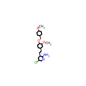 COc1ccc(COc2ccc(/C=C/c3cc(Cl)cnc3N)cc2OC)cc1